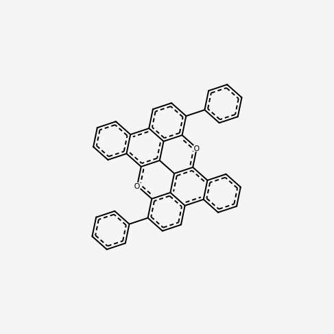 c1ccc(-c2ccc3c4ccccc4c4oc5c(-c6ccccc6)ccc6c7ccccc7c7oc2c3c4-c7c56)cc1